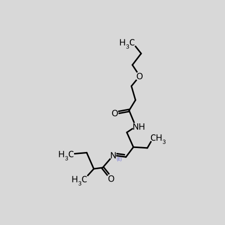 CCCOCCC(=O)NCC(/C=N/C(=O)C(C)CC)CC